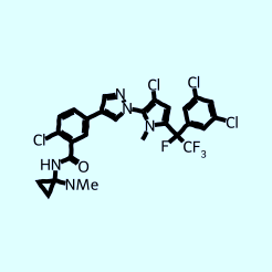 CNC1(NC(=O)c2cc(-c3cnn(-c4c(Cl)cc(C(F)(c5cc(Cl)cc(Cl)c5)C(F)(F)F)n4C)c3)ccc2Cl)CC1